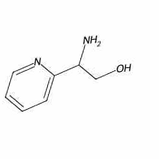 NC(CO)c1ccccn1